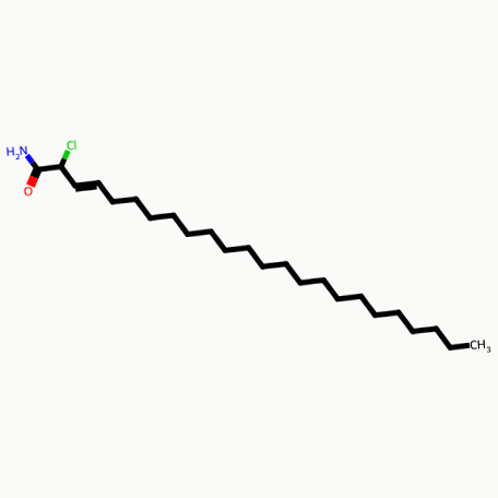 CCCCCCCCCCCCCCCCCCCCC=CC(Cl)C(N)=O